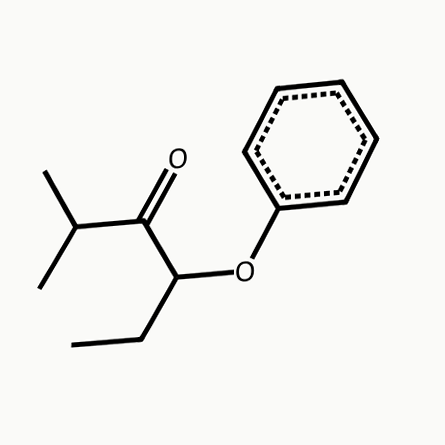 CCC(Oc1ccccc1)C(=O)C(C)C